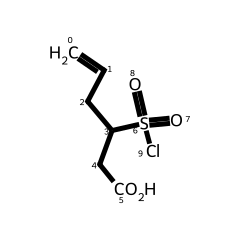 C=CCC(CC(=O)O)S(=O)(=O)Cl